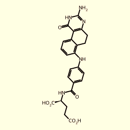 Nc1nc2c(c(=O)[nH]1)-c1cccc(Nc3ccc(C(=O)N[C@@H](CCC(=O)O)C(=O)O)cc3)c1CC2